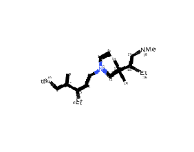 C=CN(CCC(CC)C(C)CC(C)(C)C)CC(C)(C)C(CC)CNC